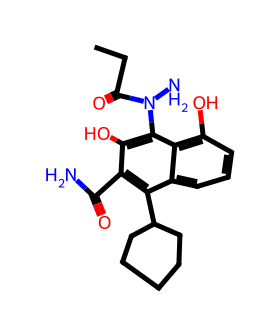 CCC(=O)N(N)c1c(O)c(C(N)=O)c(C2CCCCC2)c2cccc(O)c12